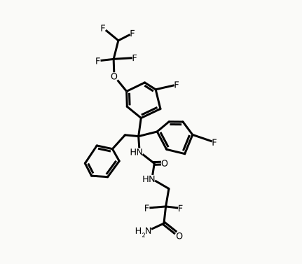 NC(=O)C(F)(F)CNC(=O)NC(Cc1ccccc1)(c1ccc(F)cc1)c1cc(F)cc(OC(F)(F)C(F)F)c1